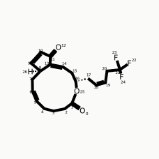 O=C1CCC/C=C\C[C@H]2C=CC(=O)/C2=C/C[C@H](C/C=C\CC(F)(F)F)O1